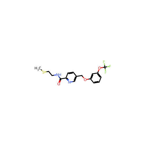 CSCCNC(=O)c1ccc(COc2cccc(OC(F)(F)F)c2)cn1